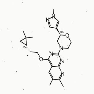 Cc1cc2c(OCC[C@@H]3CC3(C)C)nc(N3CCO[C@H](c4cnn(C)c4)C3)nc2nc1C